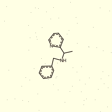 CC(NCc1ccccc1)c1ccccn1